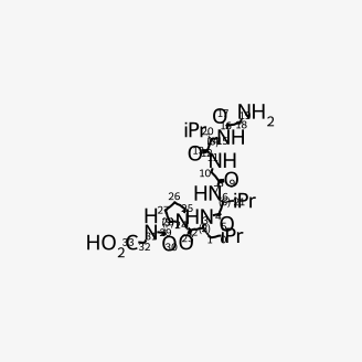 CC(C)C[C@H](NC(=O)[C@@H](NC(=O)CNC(=O)[C@@H](NC(=O)CN)C(C)C)C(C)C)C(=O)N1CCC[C@H]1C(=O)NCC(=O)O